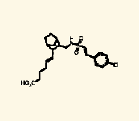 O=C(O)CCCC=CC1C2CCC(C2)C1CNS(=O)(=O)C=Cc1ccc(Cl)cc1